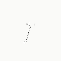 CCCCCCCC/C=C\CCCCCCC[CH]N=O